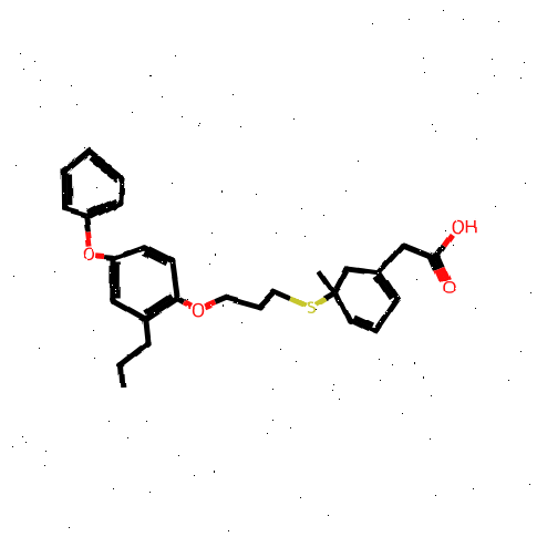 CCCc1cc(Oc2ccccc2)ccc1OCCCSC1(C)C=CC=C(CC(=O)O)C1